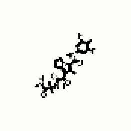 CNC(=O)C(C)(C)NC(=O)C(=O)c1c(C)c(C(=O)Nc2cc(F)c(C)c(F)c2)n2c1CCC2